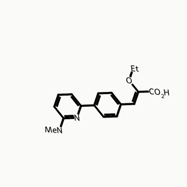 CCO/C(=C\c1ccc(-c2cccc(NC)n2)cc1)C(=O)O